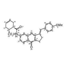 COc1ccc(/C=C2\CCn3c2nc2cc(NC(=O)[C@@H]4CC=CC[C@@H]4C(=O)O)ccc2c3=O)cc1